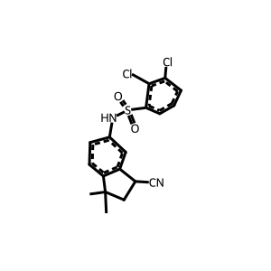 CC1(C)CC(C#N)c2cc(NS(=O)(=O)c3cccc(Cl)c3Cl)ccc21